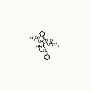 COc1ccccc1N1N=C(OC(C)=O)/C(=C2\CN(Cc3ccccc3)CCCN2)C1=O